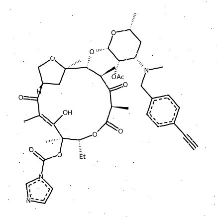 C#Cc1ccc(CN(C)[C@H]2C[C@@H](C)O[C@@H](O[C@@H]3[C@@H](C)C(=O)[C@@H](C)C(=O)O[C@H](CC)[C@@](C)(OC(=O)n4ccnc4)/C(O)=C(\C)C(=O)[C@@H]4CO[C@]3(C)C4)[C@H]2OC(C)=O)cc1